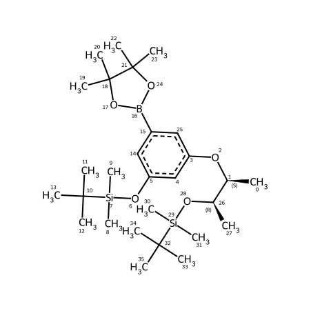 C[C@H](Oc1cc(O[Si](C)(C)C(C)(C)C)cc(B2OC(C)(C)C(C)(C)O2)c1)[C@@H](C)O[Si](C)(C)C(C)(C)C